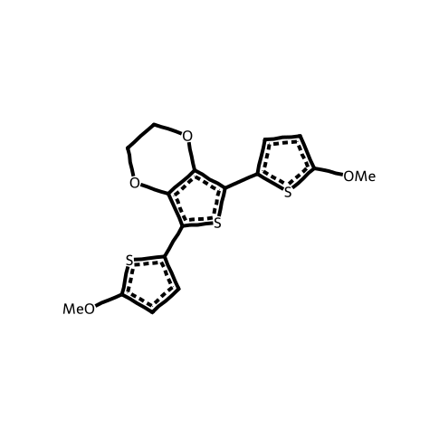 COc1ccc(-c2sc(-c3ccc(OC)s3)c3c2OCCO3)s1